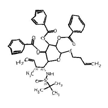 C=CCCSC1OC([C@H](N[S@+]([O-])C(C)(C)C)[C@H](C)C=C)C(OC(=O)c2ccccc2)C(OC(=O)c2ccccc2)C1OC(=O)c1ccccc1